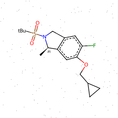 C[C@@H]1c2cc(OCC3CC3)c(F)cc2CN1S(=O)(=O)C(C)(C)C